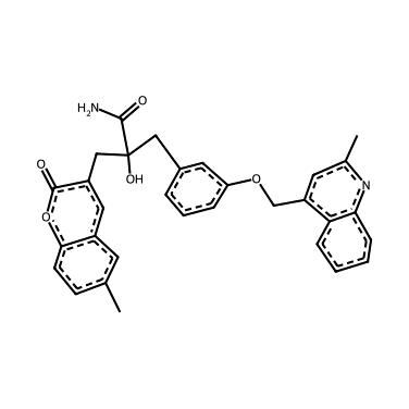 Cc1ccc2oc(=O)c(CC(O)(Cc3cccc(OCc4cc(C)nc5ccccc45)c3)C(N)=O)cc2c1